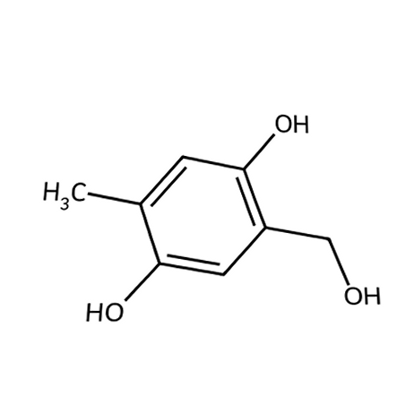 Cc1cc(O)c(CO)cc1O